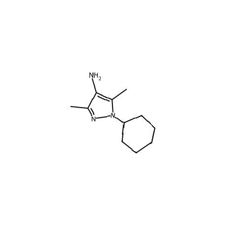 Cc1nn(C2CCCCC2)c(C)c1N